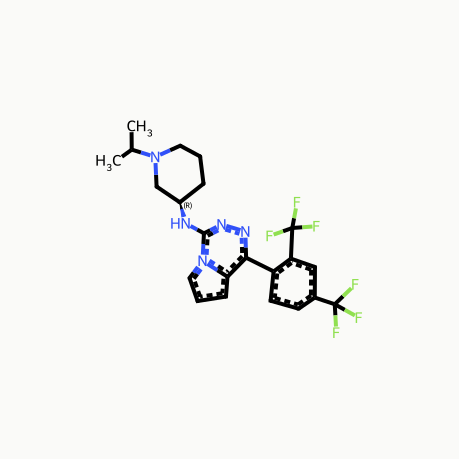 CC(C)N1CCC[C@@H](Nc2nnc(-c3ccc(C(F)(F)F)cc3C(F)(F)F)c3cccn23)C1